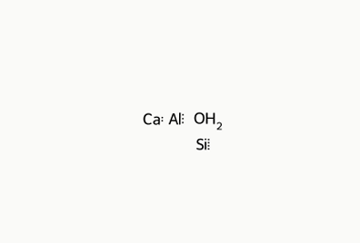 O.[Al].[Ca].[Si]